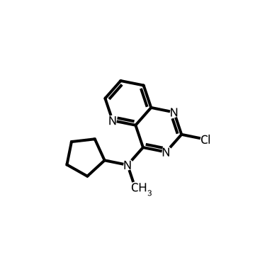 CN(c1nc(Cl)nc2cccnc12)C1CCCC1